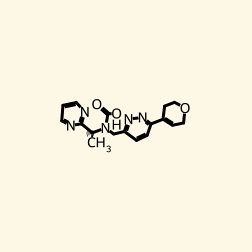 C[C@H](c1ncccn1)N(Cc1ccc(C2=CCOCC2)nn1)C(=O)O